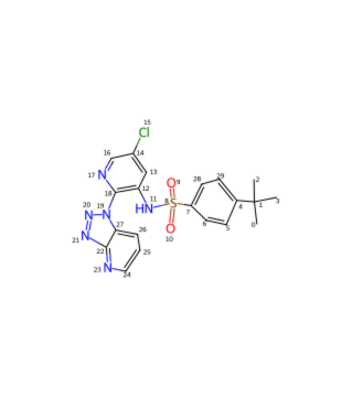 CC(C)(C)c1ccc(S(=O)(=O)Nc2cc(Cl)cnc2-n2nnc3ncccc32)cc1